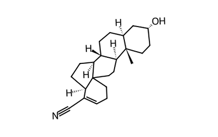 C[C@]12CC[C@@H](O)C[C@@H]1CC[C@H]1[C@@H]3CC[C@@H]4C(C#N)=CCCC43CC[C@@H]12